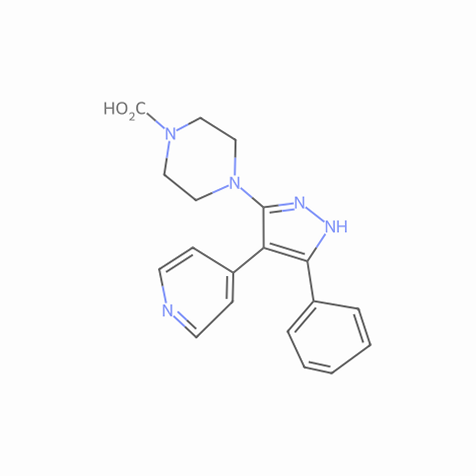 O=C(O)N1CCN(c2n[nH]c(-c3ccccc3)c2-c2ccncc2)CC1